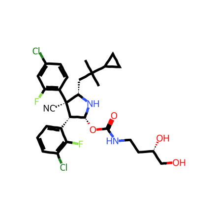 CC(C)(C[C@@H]1N[C@H](OC(=O)NCC[C@H](O)CO)[C@H](c2cccc(Cl)c2F)[C@@]1(C#N)c1ccc(Cl)cc1F)C1CC1